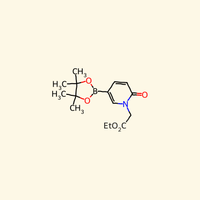 CCOC(=O)Cn1cc(B2OC(C)(C)C(C)(C)O2)ccc1=O